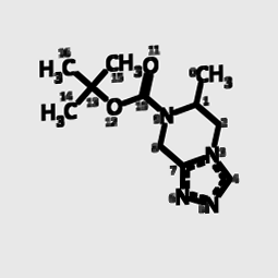 CC1Cn2cnnc2CN1C(=O)OC(C)(C)C